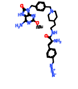 CCCCOc1nc(N)c2[nH]c(=O)n(Cc3ccc(CN4CCC(CCNC(=O)C(N)=Cc5ccc(CN=[N+]=[N-])cc5)CC4)cc3)c2n1